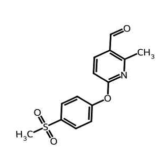 Cc1nc(Oc2ccc(S(C)(=O)=O)cc2)ccc1C=O